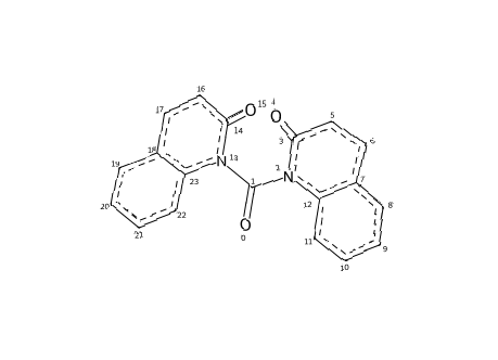 O=C(n1c(=O)ccc2ccccc21)n1c(=O)ccc2ccccc21